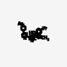 CC(=O)N1CCC(c2ccnc(-c3cncc(C(O)(c4ccc(C(C)C)cc4)C4(C)CN(C)C4)c3)n2)CC1